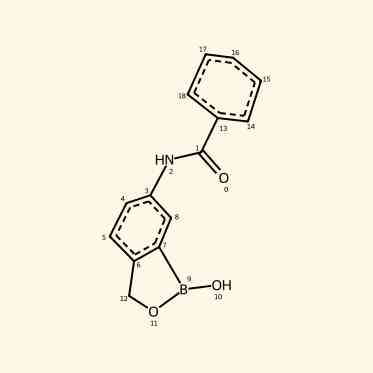 O=C(Nc1ccc2c(c1)B(O)OC2)c1ccccc1